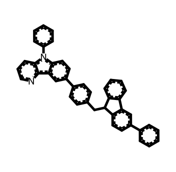 c1ccc(-c2ccc3c(c2)-c2ccccc2C3Cc2ccc(-c3ccc4c(c3)c3ncccc3n4-c3ccccc3)cc2)cc1